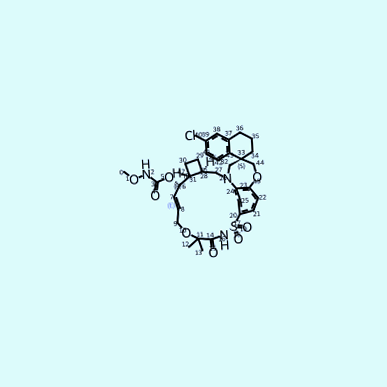 CONC(=O)O[C@H]1/C=C/COC(C)(C)C(=O)NS(=O)(=O)c2ccc3c(c2)N(C[C@@H]2CC[C@H]21)C[C@@]1(CCCc2cc(Cl)ccc21)CO3